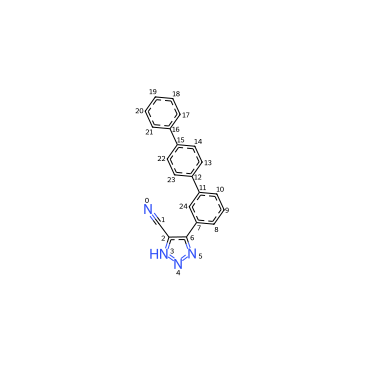 N#Cc1[nH]nnc1-c1cccc(-c2ccc(-c3ccccc3)cc2)c1